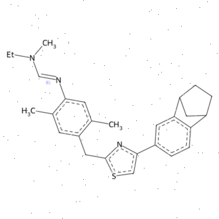 CCN(C)/C=N/c1cc(C)c(Cc2nc(-c3ccc4c(c3)C3CCC4C3)cs2)cc1C